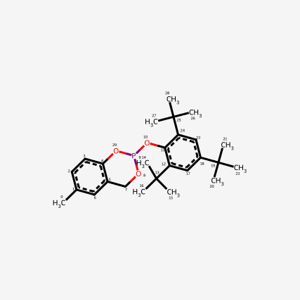 Cc1ccc2c(c1)COP(Oc1c(C(C)(C)C)cc(C(C)(C)C)cc1C(C)(C)C)O2